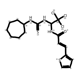 O=C(/C=C/c1cccs1)NC(NC(=S)NC1CCCCCC1)C(Cl)(Cl)Cl